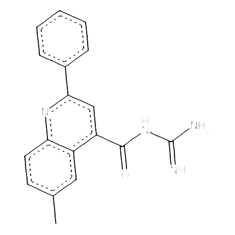 Cc1ccc2nc(-c3ccccc3)cc(C(=O)NC(=N)N)c2c1